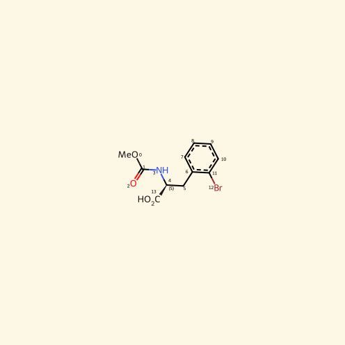 COC(=O)N[C@@H](Cc1ccccc1Br)C(=O)O